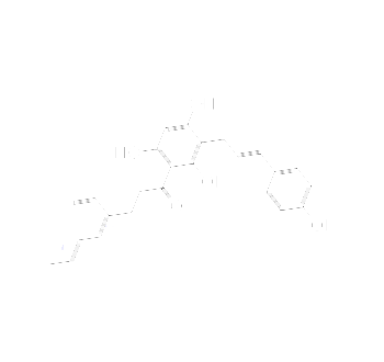 C=C/C(=C\C=C\C)CCC(=O)c1c(O)cc(O)c(C/C=C/c2ccc(O)cc2)c1O